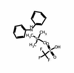 C[Si](C)(C)Cl.O=S(=O)(O)C(F)(F)F.c1ccc(Nc2ccccc2)cc1